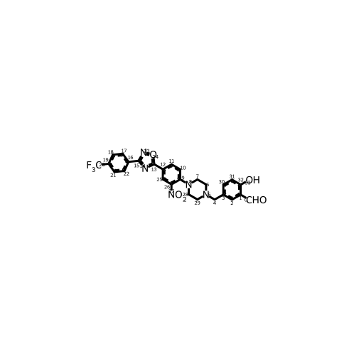 O=Cc1cc(CN2CCN(c3ccc(-c4nc(-c5ccc(C(F)(F)F)cc5)no4)cc3[N+](=O)[O-])CC2)ccc1O